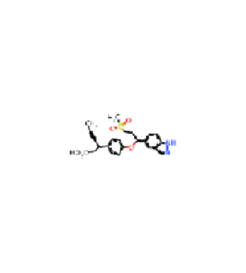 CC#CC(CC(=O)O)c1ccc(OC(CCS(C)(=O)=O)c2ccc3[nH]ncc3c2)cc1